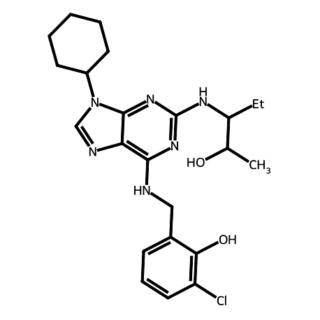 CCC(Nc1nc(NCc2cccc(Cl)c2O)c2ncn(C3CCCCC3)c2n1)C(C)O